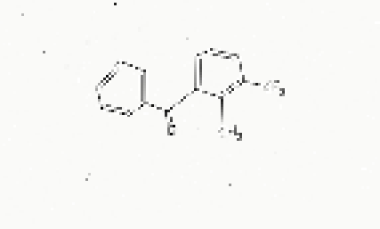 Cc1c(C(=O)c2ccccc2)cccc1C(F)(F)F